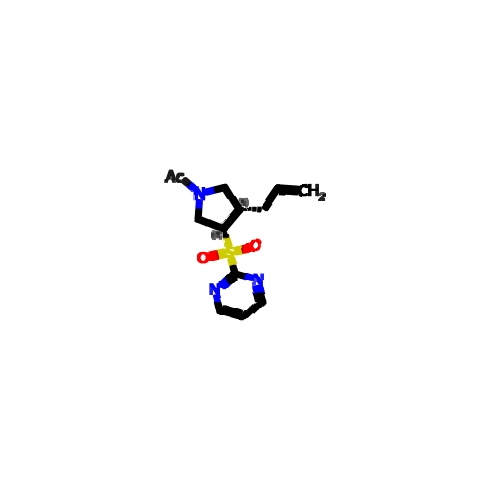 C=CC[C@H]1CN(C(C)=O)C[C@@H]1S(=O)(=O)c1ncccn1